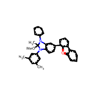 COC1(C)N(c2cc(C)cc(C)c2)c2ccc(-c3cccc4c3oc3ccccc34)cc2N1c1ccccc1